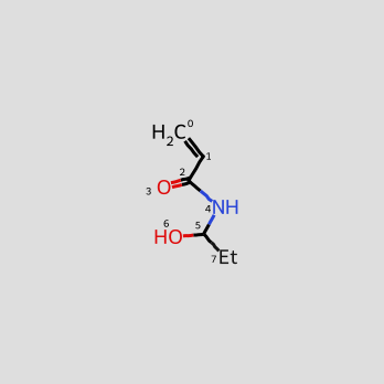 C=CC(=O)NC(O)CC